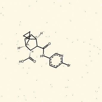 O=C(Nc1ccc(Br)nc1)C1[C@H](C(=O)O)[C@H]2C=C[C@@H]1C21CC1